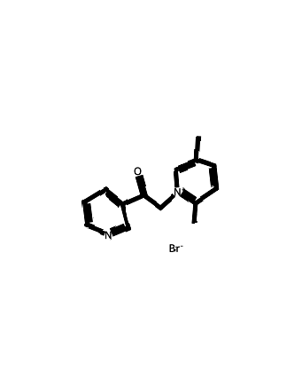 Cc1ccc(C)[n+](CC(=O)c2cccnc2)c1.[Br-]